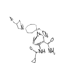 N#CC[C@]1(n2cc(C(N)=O)c(NC(=O)C3CC3)n2)CC[C@@H](N2CC(F)C2)CC1